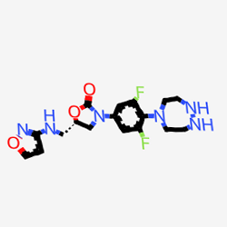 O=C1O[C@@H](CNc2ccon2)CN1c1cc(F)c(N2CCNNCC2)c(F)c1